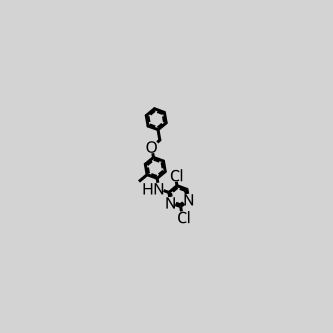 Cc1cc(OCc2ccccc2)ccc1Nc1nc(Cl)ncc1Cl